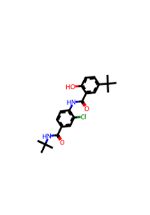 CC(C)(C)NC(=O)c1ccc(NC(=O)c2cc(C(C)(C)C)ccc2O)c(Cl)c1